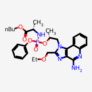 CCCCOC(=O)[C@H](C)N[P@](=O)(Oc1ccccc1)O[C@H](C)Cn1c(COCC)nc2c(N)nc3ccccc3c21